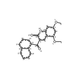 COc1cc(OC)c2cc(C(=O)c3cccc4ccccc34)c(=O)oc2c1